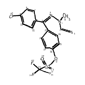 CN(C=S)N=C(c1ccc(Cl)cc1)c1ccc(OS(=O)(=O)C(F)(F)F)cc1